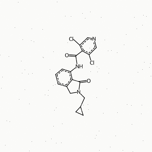 O=C(Nc1cccc2c1C(=O)N(CC1CC1)C2)c1c(Cl)cncc1Cl